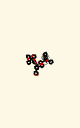 c1ccc(-c2ccc(N(c3ccc(-c4sc(-c5ccccc5)c5c4Oc4ccccc4O5)cc3)c3ccc(C4(c5ccccc5)c5ccccc5-c5ccccc54)cc3)c(-c3ccccc3)c2)cc1